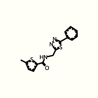 Cc1ccc(C(=O)NCc2nnc(-c3ccccc3)s2)s1